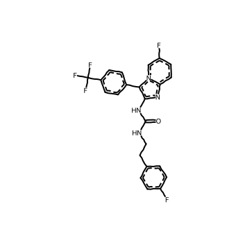 O=C(NCCc1ccc(F)cc1)Nc1nc2ccc(F)cn2c1-c1ccc(C(F)(F)F)cc1